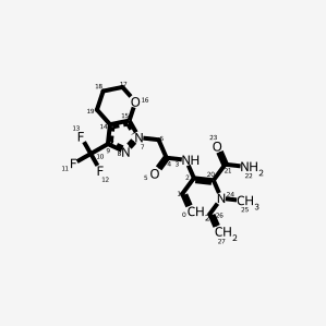 C=C/C(NC(=O)Cn1nc(C(F)(F)F)c2c1OCCC2)=C(/C(N)=O)N(C)C=C